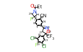 CCC(=O)N1CC(F)(c2ccc(C3=NOC(c4cc(Cl)c(F)c(Cl)c4)(C(F)(F)F)C3)cc2C#N)C1